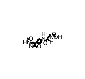 CC(=O)Nc1cc2c(cn1)COc1cc(NC(=O)C(C)CC(C)NC(=O)O)ccc1-2